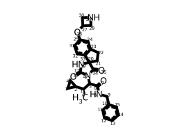 C[C@@H](C1CC1)C(C(=O)NCc1ccccc1)N1C(=O)NC2(CCc3cc(OC4CNC4)ccc32)C1=O